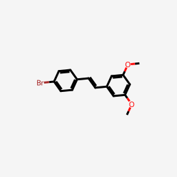 COc1cc(/C=C/c2ccc(Br)cc2)cc(OC)c1